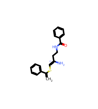 C=C(S/C=C(\N)CCNC(=O)c1ccccc1)c1ccccc1